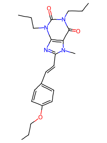 CCCOc1ccc(C=Cc2nc3c(c(=O)n(CCC)c(=O)n3CCC)n2C)cc1